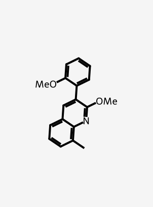 COc1ccccc1-c1cc2cccc(C)c2nc1OC